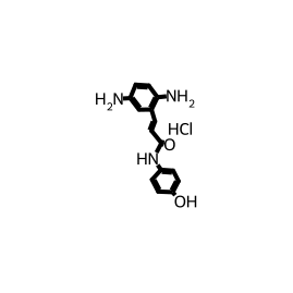 Cl.Nc1ccc(N)c(/C=C/C(=O)Nc2ccc(O)cc2)c1